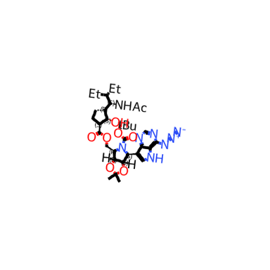 CCC(CC)[C@H](NC(C)=O)[C@H]1CC[C@H](C(=O)OC[C@@H]2[C@H]3OC(C)(C)O[C@H]3[C@H](c3c[nH]c4c(N=[N+]=[N-])ncnc34)N2C(=O)OC(C)(C)C)[C@H]1O